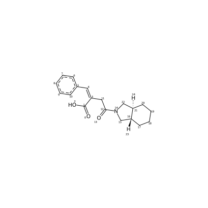 O=C(O)C(=Cc1ccccc1)CC(=O)N1C[C@H]2CCCC[C@@H]2C1